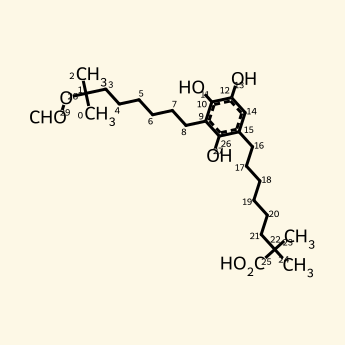 CC(C)(CCCCCCc1c(O)c(O)cc(CCCCCCC(C)(C)C(=O)O)c1O)OC=O